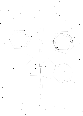 C[Si](C)(Cl)N1[Si](C)(C)N([Si](Cl)(c2ccccc2)c2ccccc2)[Si]1(c1ccccc1)c1ccccc1